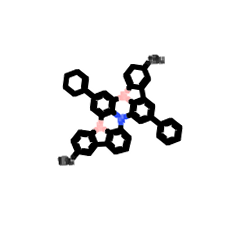 CC(C)(C)c1ccc2c(c1)-c1cccc3c1B2c1cc(C2=CCCCC2)cc2c1N3c1cc(-c3ccccc3)cc3c1B2C1=CCC(C(C)(C)C)C=C13